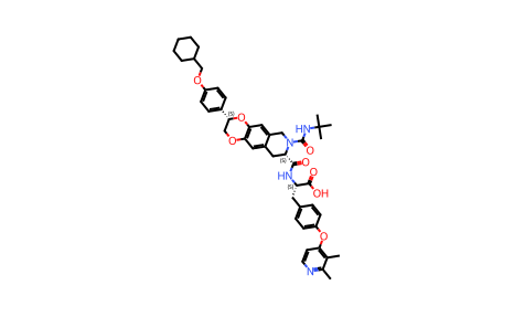 Cc1nccc(Oc2ccc(C[C@H](NC(=O)[C@@H]3Cc4cc5c(cc4CN3C(=O)NC(C)(C)C)O[C@@H](c3ccc(OCC4CCCCC4)cc3)CO5)C(=O)O)cc2)c1C